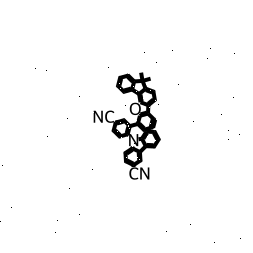 CC1(C)c2ccccc2-c2c1ccc1c2oc2c(-c3cc(C#N)ccc3-n3c4ccccc4c4cc(C#N)ccc43)cc#cc21